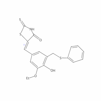 CCOc1cc(/C=C2/SC(=S)NC2=O)cc(CSc2ccccc2)c1O